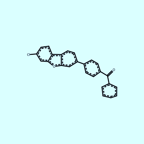 O=C(c1ccccc1)c1ccc(-c2ccc3c(c2)oc2cc(Cl)ccc23)cc1